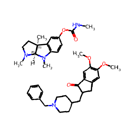 CNC(=O)Oc1ccc2c(c1)[C@]1(C)CCN(C)[C@@H]1N2C.COc1cc2c(cc1OC)C(=O)C(CC1CCN(Cc3ccccc3)CC1)C2